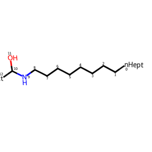 CCCCCCCCCCCCCCCNC(O)CC